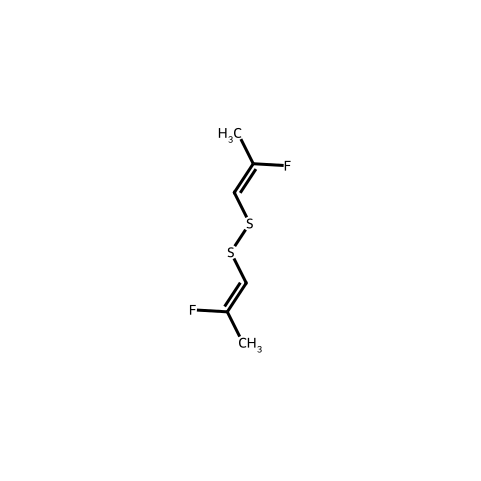 CC(F)=CSSC=C(C)F